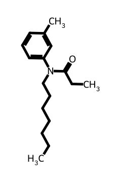 CCCCCCCN(C(=O)CC)c1cccc(C)c1